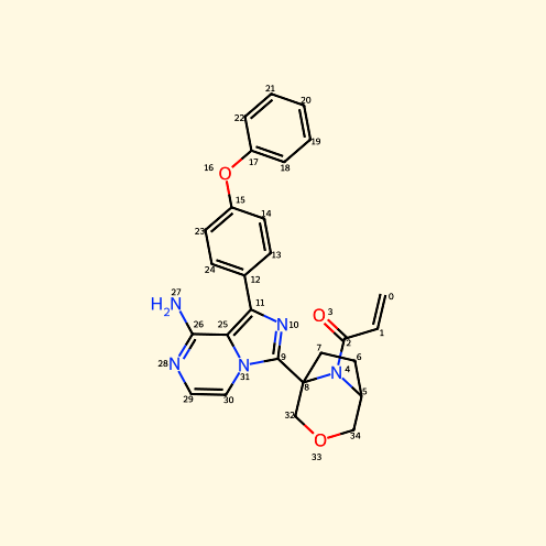 C=CC(=O)N1C2CCC1(c1nc(-c3ccc(Oc4ccccc4)cc3)c3c(N)nccn13)COC2